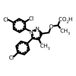 Cc1c(COC(C)C(=O)O)nn(-c2ccc(Cl)cc2Cl)c1-c1ccc(Cl)cc1